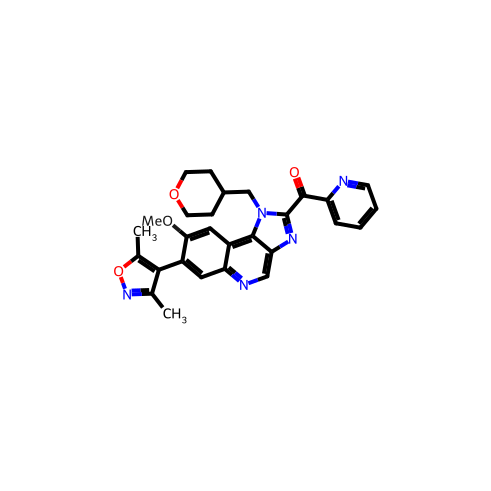 COc1cc2c(cc1-c1c(C)noc1C)ncc1nc(C(=O)c3ccccn3)n(CC3CCOCC3)c12